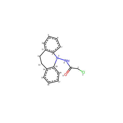 O=C(CCl)NN1c2ccccc2CCc2ccccc21